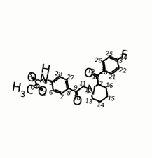 CS(=O)(=O)Nc1ccc(C(=O)CN2CCCCC2C(=O)c2ccc(F)cc2)cc1